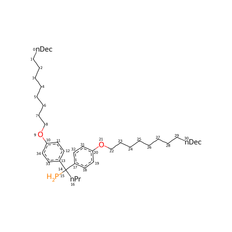 CCCCCCCCCCCCCCCCCCOc1ccc(C(P)(CCC)c2ccc(OCCCCCCCCCCCCCCCCCC)cc2)cc1